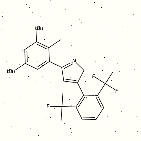 Cc1c(C2=NCC(c3c(C(C)(C)F)cccc3C(C)(F)F)=C2)cc(C(C)(C)C)cc1C(C)(C)C